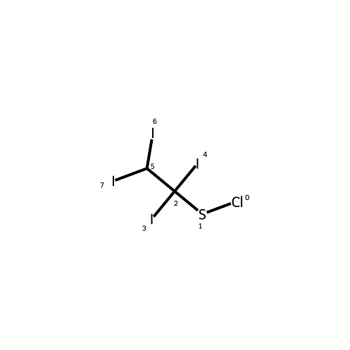 ClSC(I)(I)C(I)I